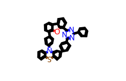 c1ccc(-c2nc(-c3ccccc3)nc(-c3cccc4c3oc3c(-c5ccc(N6c7ccccc7Sc7ccccc76)cc5)cccc34)n2)cc1